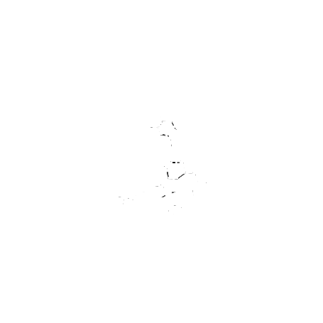 C[C@H](CO)Nc1cc(N(COCC[Si](C)(C)C)S(=O)(=O)N2CCC2)nc(SCc2ccc(F)c(F)c2F)n1